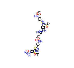 CC(C)OC(=O)N[C@H]1CC[C@H](c2ncc(-c3ccc(Nc4cc(CCC(C)OC(=O)NC5CCC(c6ncc(-c7ccc(Nc8nnco8)cc7S(=N)(=O)C7CC7)s6)CC5)[nH]n4)cc3S(=N)(=O)C3CCC3)s2)CC1